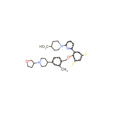 Cc1cc(C2CCN(C3CCOC3)CC2)ccc1COc1c(F)cc(F)cc1-c1cccc(N2CCC(C(=O)O)CC2)n1